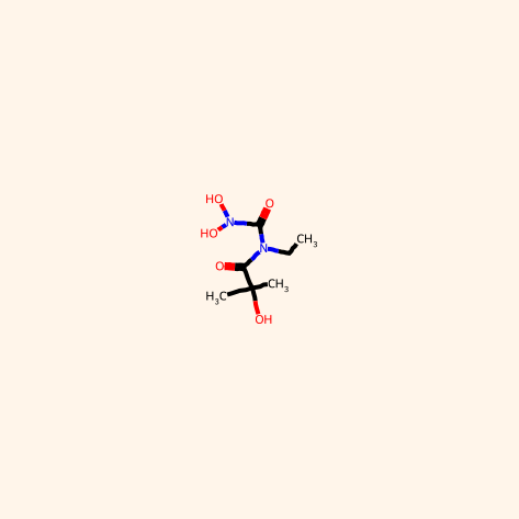 CCN(C(=O)N(O)O)C(=O)C(C)(C)O